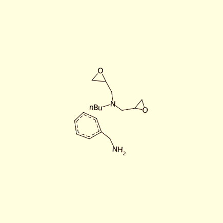 CCCCN(CC1CO1)CC1CO1.NCc1ccccc1